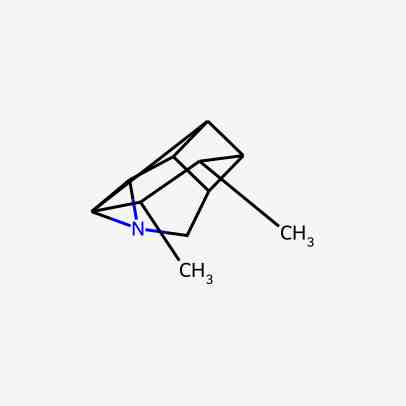 CC1C2C3CN4C5C3C2C54C1C